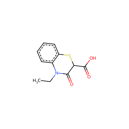 CCN1C(=O)C(C(=O)O)Sc2ccccc21